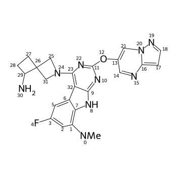 CNc1cc(F)cc2c1[nH]c1nc(Oc3cnc4ccnn4c3)nc(N3CC4(CCC4N)C3)c12